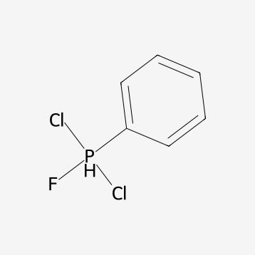 F[PH](Cl)(Cl)c1ccccc1